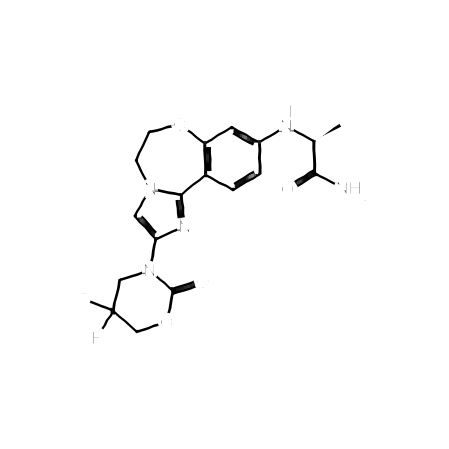 C[C@H](Nc1ccc2c(c1)OCCn1cc(N3CC(F)(F)COC3=O)nc1-2)C(N)=O